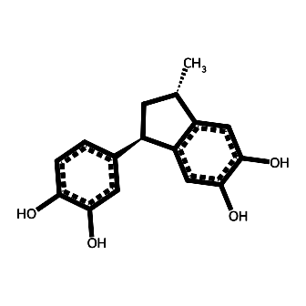 C[C@H]1C[C@H](c2ccc(O)c(O)c2)c2cc(O)c(O)cc21